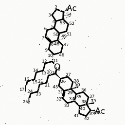 CC(=O)[C@H]1CCC2C3CC=C4C[C@@H](C(CCCCCI)OC(CCCCCI)[C@H]5CC[C@@]6(C)C(=CCC7C6CC[C@@]6(C)C7CC[C@@H]6C(C)=O)C5)CC[C@]4(C)C3CC[C@@]21C